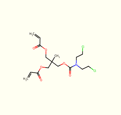 C=CC(=O)OCC(C)(COC(=O)C=C)COC(=O)N(CCCl)CCCl